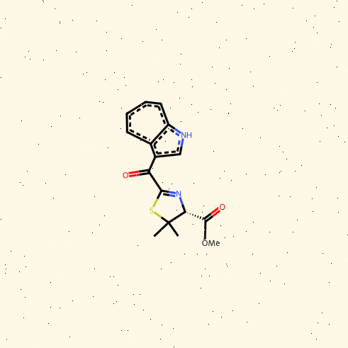 COC(=O)[C@H]1N=C(C(=O)c2c[nH]c3ccccc23)SC1(C)C